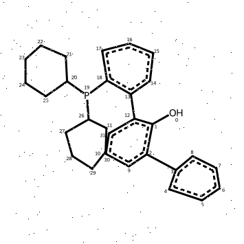 Oc1c(-c2ccccc2)cccc1-c1ccccc1P(C1CCCCC1)C1CCCCC1